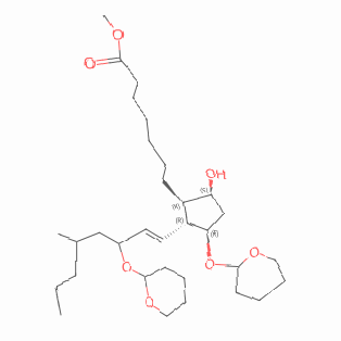 CCCC(C)CC(C=C[C@@H]1[C@@H](CCCCCCC(=O)OC)[C@@H](O)C[C@H]1OC1CCCCO1)OC1CCCCO1